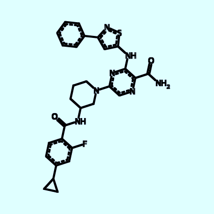 NC(=O)c1ncc(N2CCCC(NC(=O)c3ccc(C4CC4)cc3F)C2)nc1Nc1cc(-c2ccccc2)ns1